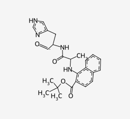 CC(Nc1c(C(=O)OC(C)(C)C)ccc2ccccc12)C(=O)NC([C]=O)Cc1c[nH]cn1